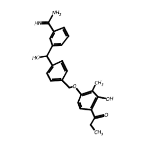 CCC(=O)c1ccc(OCc2ccc(C(O)c3cccc(C(=N)N)c3)cc2)c(C)c1O